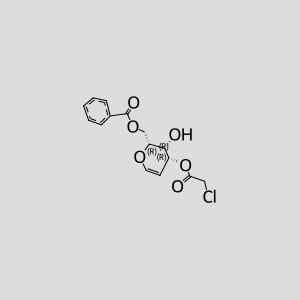 O=C(CCl)O[C@@H]1C=CO[C@H](COC(=O)c2ccccc2)[C@@H]1O